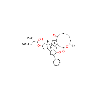 CC[C@H]1CCCC[C@@H](C)C(=O)C2=C[C@@H]3[C@@H](C4C(=O)C(c5ccccc5)=CC4C4C[C@@H](OC(O)[C@H](COC)OC)C[C@H]43)[C@@H]2CC(=O)O1